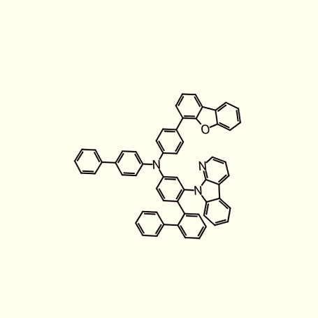 c1ccc(-c2ccc(N(c3ccc(-c4cccc5c4oc4ccccc45)cc3)c3ccc(-c4ccccc4-c4ccccc4)c(-n4c5ccccc5c5cccnc54)c3)cc2)cc1